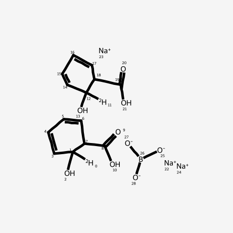 [2H]C1(O)C=CC=CC1C(=O)O.[2H]C1(O)C=CC=CC1C(=O)O.[Na+].[Na+].[Na+].[O-]B([O-])[O-]